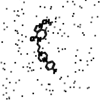 Cn1ccc2c1C=CCN(CCCN1CCN(c3ccc(F)cc3)CC1)C2=O